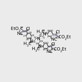 CCOC(=O)/C(C#N)=C(\Cl)c1ccc(N(C)CCN(CCN(C)c2ccc(/C(Cl)=C(\C#N)C(=O)OCC)cc2)CCN(C)c2ccc(/C(Cl)=C(\C#N)C(=O)OCC)cc2)cc1